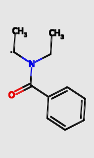 C[CH]N(CC)C(=O)c1ccccc1